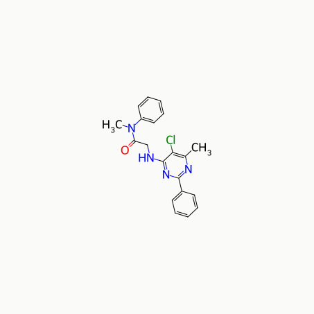 Cc1nc(-c2ccccc2)nc(NCC(=O)N(C)c2ccccc2)c1Cl